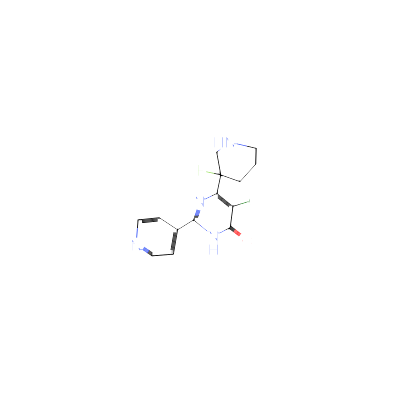 O=c1[nH]c(-c2ccncc2)nc(C2(F)CCCNC2)c1Cl